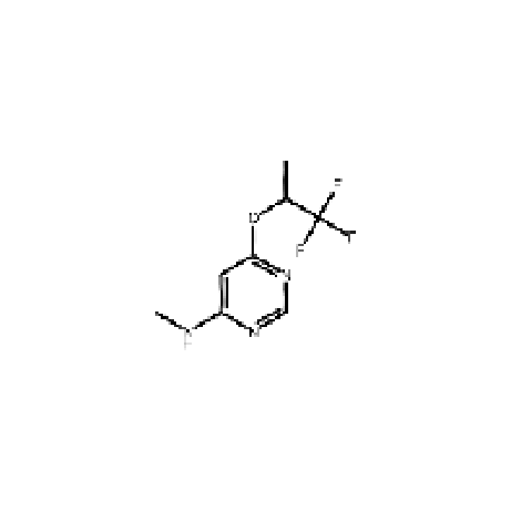 CNc1cc(OC(C)C(F)(F)F)ncn1